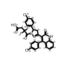 O=C(O)CC(F)(F)C(=O)N1N=C(c2c(-c3ccc(Cl)cc3)c3ccccc3[nH]c2=O)CC1c1ccc(Cl)cc1